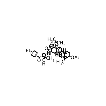 C=C(C)[C@@H]1CC[C@]2(C(=O)N[C@H]3C[C@@H](C(=O)N4CCN(CC)CC4)C3(C)C)CC[C@]3(C)[C@H](CC[C@H]4[C@@]3(C)CC[C@@]35C(C)C3(C)[C@@H](OC(C)=O)CC[C@]45C)[C@@H]12